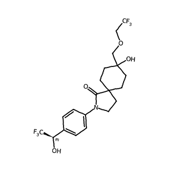 O=C1N(c2ccc([C@@H](O)C(F)(F)F)cc2)CCC12CCC(O)(COCC(F)(F)F)CC2